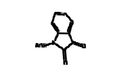 CC(=O)NN1C(=O)C(=O)c2ccccc21